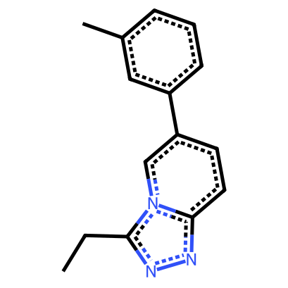 CCc1nnc2ccc(-c3cccc(C)c3)cn12